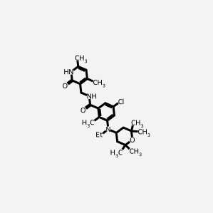 CCN(c1cc(Cl)cc(C(=O)NCc2c(C)cc(C)[nH]c2=O)c1C)C1CC(C)(C)OC(C)(C)C1